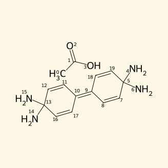 CC(=O)O.NC1(N)C=CC(=C2C=CC(N)(N)C=C2)C=C1